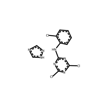 Clc1nc(Cl)nc(Nc2ccccc2Cl)n1.c1nc[nH]n1